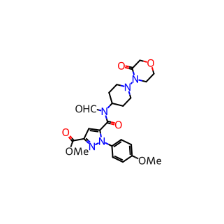 COC(=O)c1cc(C(=O)N(C=O)C2CCN(N3CCOCC3=O)CC2)n(-c2ccc(OC)cc2)n1